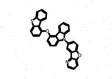 c1cnc2c(c1)oc1ccc(-n3c4ccccc4c4c(Oc5cccc6sc7ccccc7c56)cccc43)cc12